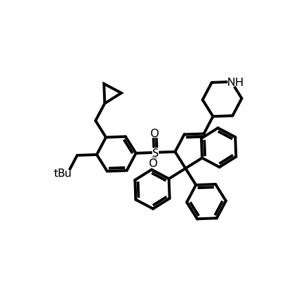 CC(C)(C)CC1C=CC(S(=O)(=O)C(C=CC2CCNCC2)C(c2ccccc2)(c2ccccc2)c2ccccc2)=CC1CC1CC1